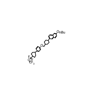 CCCCOc1ccc2cc(C3CCC(COc4ccc(C5CCC(C(F)(F)OC(F)(F)F)CC5)cc4)CC3)ccc2c1